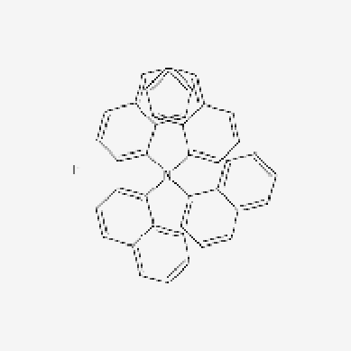 [I-].c1ccc2c([N+](c3cccc4ccccc34)(c3cccc4ccccc34)c3cccc4ccccc34)cccc2c1